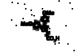 COc1ccc(-c2cc(/C=C/C(=O)O)oc2-c2ccc(OC)cc2)cc1